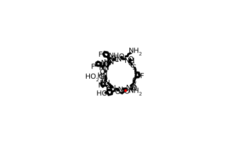 C[C@@]12CCCN1C(=O)[C@H](Cc1ccc(O)cc1)NC(=O)[C@H](Cc1cnc[nH]1)NC(=O)[C@H](CC(=O)O)NC(=O)[C@H](Cc1c[nH]c3ccc(F)cc13)NC(=O)[C@H](Cc1c[nH]c3ccc(F)cc13)NC(=O)CNC(=O)[C@H](CCCCN)NC(=O)CCSCc1cc(F)cc(c1)CSC[C@@H](C(N)=O)NC2=O